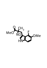 COC(=O)C(C)(Cc1c[nH]c2ccc(OC)c(F)c12)[N+](=O)[O-]